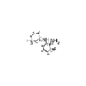 CC1(C)CCC[C@H](Nc2cccc(F)c2N)C1